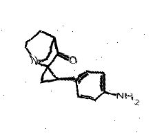 Nc1ccc(C2CC23C(=O)C2CCN3CC2)cc1